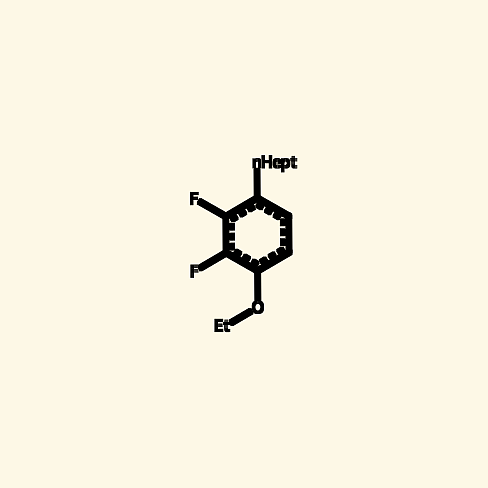 CCCCCCCc1ccc(OCC)c(F)c1F